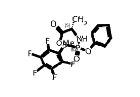 COC(=O)[C@H](C)N[P@](=O)(Oc1ccccc1)Sc1c(F)c(F)c(F)c(F)c1F